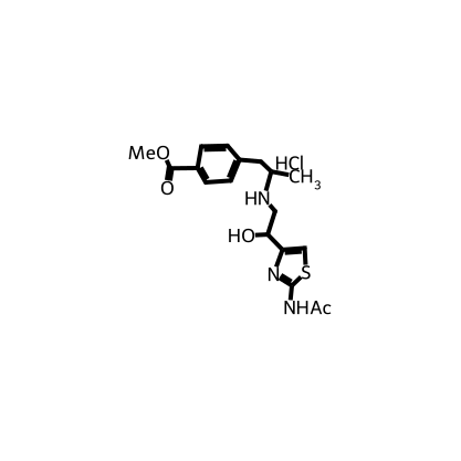 COC(=O)c1ccc(CC(C)NCC(O)c2csc(NC(C)=O)n2)cc1.Cl